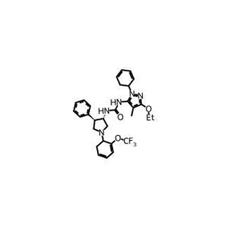 CCOc1nn(C2C=CC=CC2)c(NC(=O)N[C@@H]2CN(C3CC=CC=C3OC(F)(F)F)C[C@H]2c2ccccc2)c1C